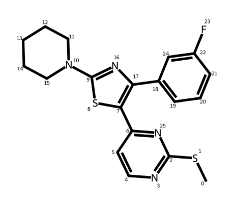 CSc1nccc(-c2sc(N3CCCCC3)nc2-c2cccc(F)c2)n1